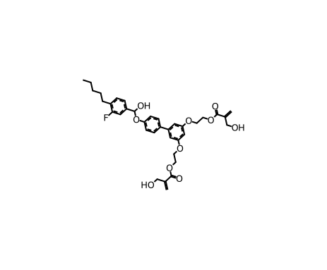 C=C(CO)C(=O)OCCOc1cc(OCCOC(=O)C(=C)CO)cc(-c2ccc(OC(O)c3ccc(CCCCC)c(F)c3)cc2)c1